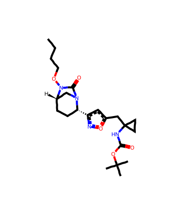 CCCCON1C(=O)N2C[C@@H]1CC[C@H]2c1cc(CC2(NC(=O)OC(C)(C)C)CC2)on1